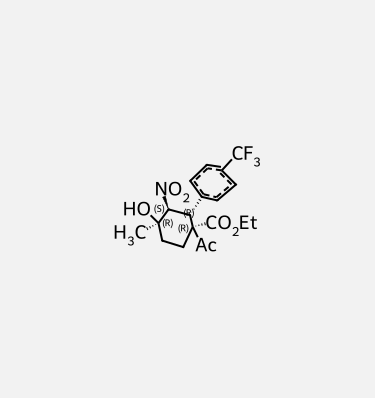 CCOC(=O)[C@]1(C(C)=O)CC[C@@](C)(O)[C@@H]([N+](=O)[O-])[C@@H]1c1ccc(C(F)(F)F)cc1